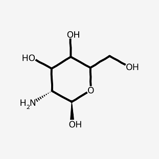 N[C@@H]1C(O)C(O)C(CO)O[C@H]1O